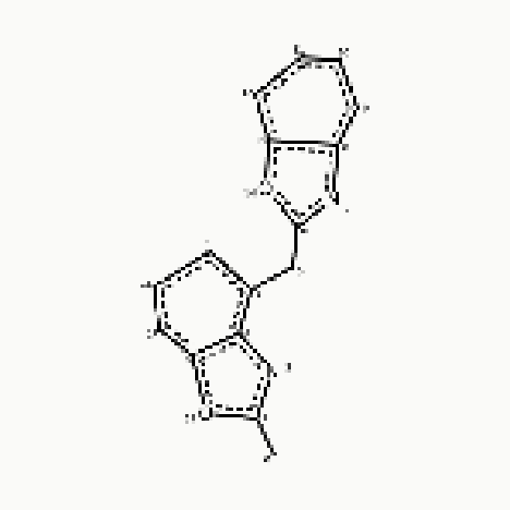 Cc1nc2c(Cc3nc4ccccc4o3)cccc2o1